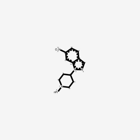 CCCN1CCC(n2ncc3ccc([N+](=O)[O-])cc32)CC1